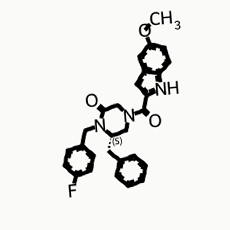 COc1ccc2[nH]c(C(=O)N3CC(=O)N(Cc4ccc(F)cc4)[C@@H](Cc4ccccc4)C3)cc2c1